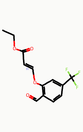 CCOC(=O)/C=C/Oc1cc(C(F)(F)F)ccc1C=O